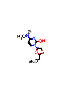 CCN(C)C1=NC(O)N([C@@H]2CSC(COCC(C)C)O2)C=C1